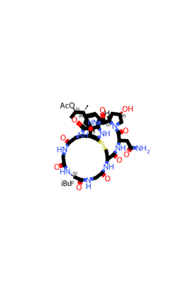 CC[C@H](C)[C@@H]1NC(=O)CNC(=O)C2Cc3c([nH]c4ccccc34)SCC(NC(=O)CNC1=O)C(=O)NC(CC(N)=O)C(=O)N1C[C@H](O)C[C@H]1C(=O)N[C@@H]([C@@H](C)[C@H](C)OC(C)=O)C(=O)N2